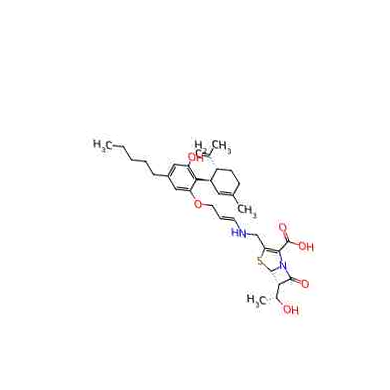 C=C(C)[C@@H]1CCC(C)=C[C@H]1c1c(O)cc(CCCCC)cc1OC/C=C/NCC1=C(C(=O)O)N2C(=O)[C@H]([C@@H](C)O)C2S1